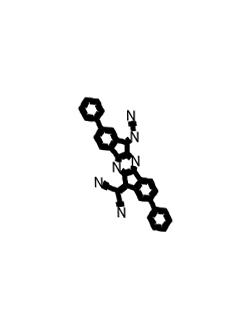 N#C/N=C1\c2cc(-c3ccccc3)ccc2-c2nc3c(nc21)-c1ccc(-c2ccccc2)cc1C3=C(C#N)C#N